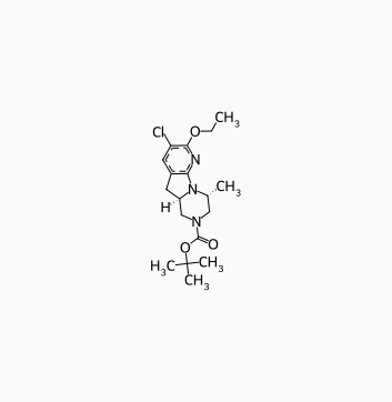 CCOc1nc2c(cc1Cl)C[C@@H]1CN(C(=O)OC(C)(C)C)C[C@@H](C)N21